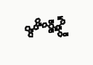 N#Cc1cccc(-c2cc(-c3cc(C#N)c(-c4ccc(-n5c6ccccc6c6cc(-n7c8ccccc8c8ccccc87)ccc65)cc4)cc3C#N)nc(-c3cccc(C#N)c3)n2)c1